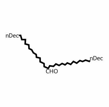 CCCCCCCCCCCCCCCCCCCCCCCCC(C=O)CCCCCCCCCCCCCCCCCCCCCCCC